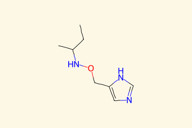 CCC(C)NOCc1cnc[nH]1